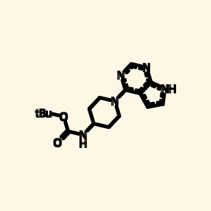 CC(C)(C)OC(=O)NC1CCN(c2ncnc3[nH]ccc23)CC1